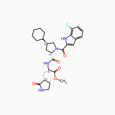 COC(=O)[C@H](C[C@@H]1CCNC1=O)NC(=O)[C@@H]1C[C@@H](C2CCCCC2)CN1C(=O)c1cc2cccc(F)c2[nH]1